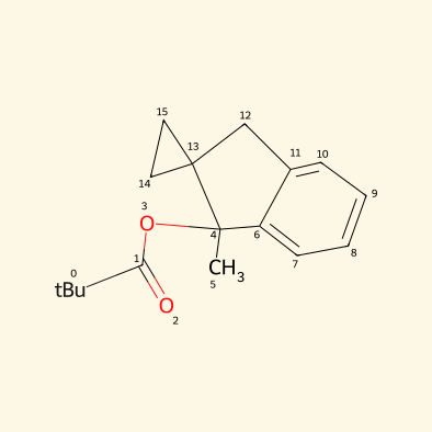 CC(C)(C)C(=O)OC1(C)c2ccccc2CC12CC2